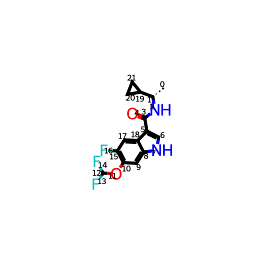 C[C@H](NC(=O)c1c[nH]c2cc(OC(F)F)c(F)cc12)C1CC1